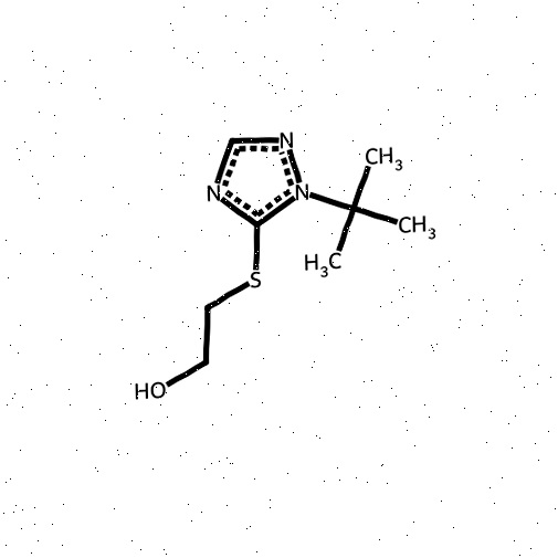 CC(C)(C)n1ncnc1SCCO